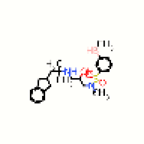 CBc1cccc(S(=O)(=O)N(C)CC(O)CNC(C)(C)CC2Cc3ccccc3C2)c1